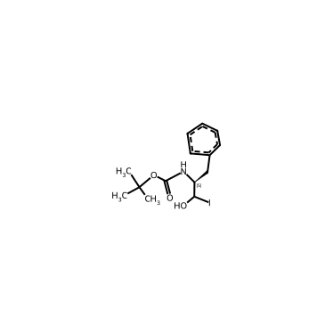 CC(C)(C)OC(=O)N[C@@H](Cc1ccccc1)C(O)I